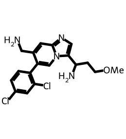 COCCC(N)c1cnc2cc(CN)c(-c3ccc(Cl)cc3Cl)cn12